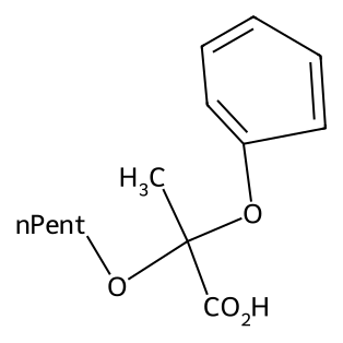 CCCCCOC(C)(Oc1ccccc1)C(=O)O